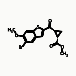 COC(=O)[C@H]1C[C@@H]1C(=O)c1cc2cc(Br)c(OC)cc2s1